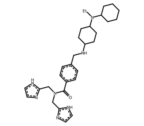 CCN(C1CCCCC1)C1CCC(NCc2ccc(C(=O)N(Cc3ncc[nH]3)Cc3ncc[nH]3)cc2)CC1